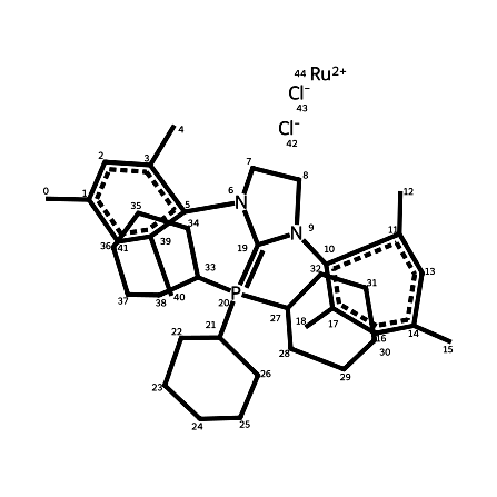 Cc1cc(C)c(N2CCN(c3c(C)cc(C)cc3C)C2=P(C2CCCCC2)(C2CCCCC2)C2CCCCC2)c(C)c1.[Cl-].[Cl-].[Ru+2]